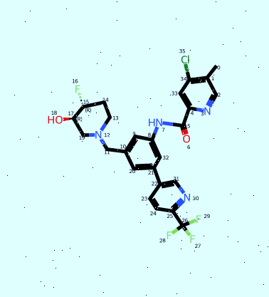 Cc1cnc(C(=O)Nc2cc(CN3CC[C@@H](F)[C@H](O)C3)cc(-c3ccc(C(F)(F)F)nc3)c2)cc1Cl